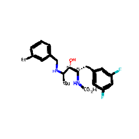 CCc1cccc(CNC([C@H](O)[C@H](Cc2cc(F)cc(F)c2)NC(=O)O)C(C)(C)C)c1